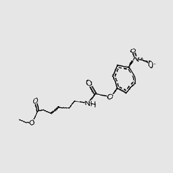 COC(=O)CCCCNC(=O)Oc1ccc([N+](=O)[O-])cc1